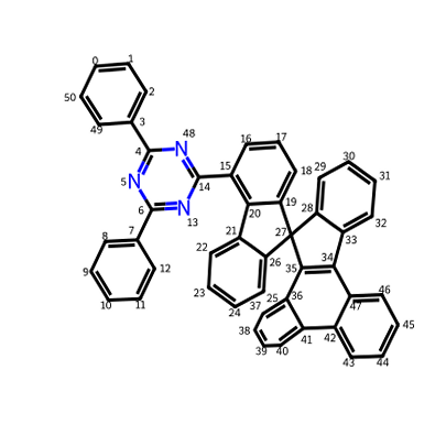 c1ccc(-c2nc(-c3ccccc3)nc(-c3cccc4c3-c3ccccc3C43c4ccccc4-c4c3c3ccccc3c3ccccc43)n2)cc1